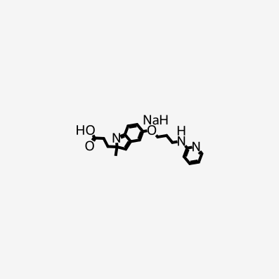 CC1(CCC(=O)O)C=c2cc(OCCCNc3ccccn3)ccc2=N1.[NaH]